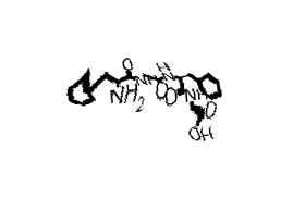 N[C@@H](Cc1ccccc1)C(=O)NCC(=O)N[C@@H](Cc1ccccc1)C(=O)NCC(=O)O